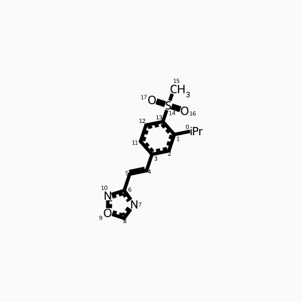 CC(C)c1cc(C=Cc2ncon2)ccc1S(C)(=O)=O